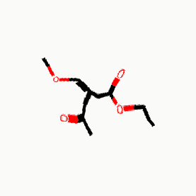 CCOC(=O)/C(=C/OC)C(C)=O